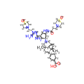 CC12CC=C(c3ccc(C(=O)O)cc3)C(C)(C)C1=CCN(c1cc(NC(=O)CCN3CC[S+]([O-])CC3)cc(/C(N)=N/N(N)CCN3CC[S+]([O-])CC3)c1)C2